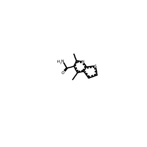 Cc1nc2sc[c]c2c(C)c1C(N)=O